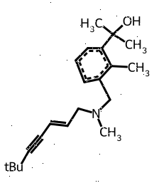 Cc1c(CN(C)C/C=C/C#CC(C)(C)C)cccc1C(C)(C)O